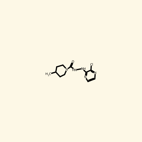 CC1CCN(C(=O)NNc2nccnc2Cl)CC1